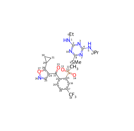 CCNc1nc(NC(C)C)nc(SC)n1.CS(=O)(=O)c1cc(C(F)(F)F)ccc1C(=O)c1cnoc1C1CC1